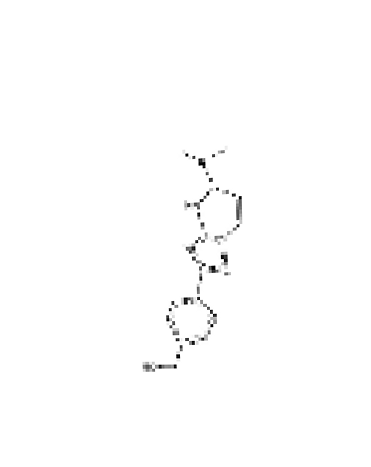 CN(C)C1C=Cn2cc(-c3ccc(CO)cc3)nc2N1